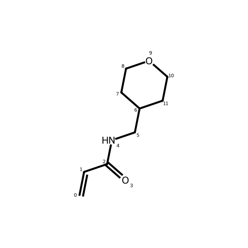 C=CC(=O)NCC1CCOCC1